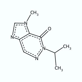 CC(C)n1ncc2ncn(C)c2c1=O